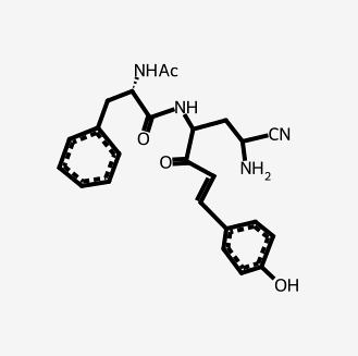 CC(=O)N[C@@H](Cc1ccccc1)C(=O)NC(CC(N)C#N)C(=O)/C=C/c1ccc(O)cc1